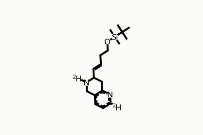 [2H]c1ccc2c(n1)CC(C=CCCO[Si](C)(C)C(C)(C)C)N([2H])C2